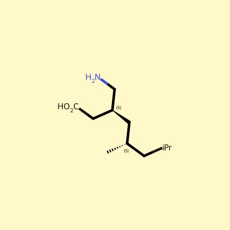 CC(C)C[C@H](C)C[C@H](CN)CC(=O)O